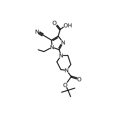 CCn1c(N2CCN(C(=O)OC(C)(C)C)CC2)nc(C(=O)O)c1C#N